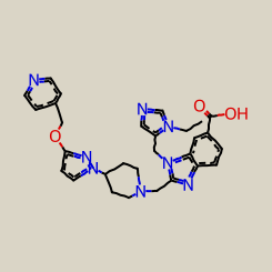 CCn1cncc1Cn1c(CN2CCC(n3ccc(OCc4ccncc4)n3)CC2)nc2ccc(C(=O)O)cc21